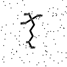 CCCCNCCC[Si](OC)(OC)OC